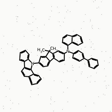 CC1(C)c2cc(N(c3ccc(-c4ccccc4)cc3)c3cccc4ccccc34)ccc2-c2ccc(-n3c4ccccc4c4ccc5ccccc5c43)cc21